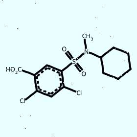 CN(C1CCCCC1)S(=O)(=O)c1cc(C(=O)O)c(Cl)cc1Cl